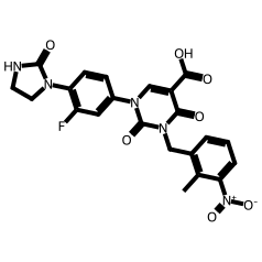 Cc1c(Cn2c(=O)c(C(=O)O)cn(-c3ccc(N4CCNC4=O)c(F)c3)c2=O)cccc1[N+](=O)[O-]